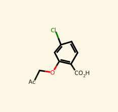 CC(=O)COc1cc(Cl)ccc1C(=O)O